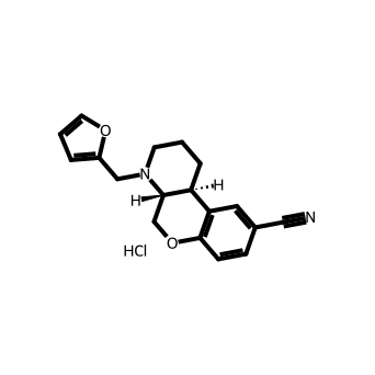 Cl.N#Cc1ccc2c(c1)[C@@H]1CCCN(Cc3ccco3)[C@H]1CO2